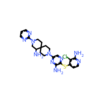 Nc1nc(N2CCC3(CC2)CCN(c2ncccn2)CC3N)cnc1Sc1ccnc(N)c1Cl